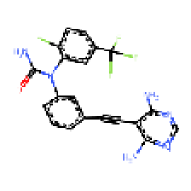 NC(=O)N(c1cccc(C#Cc2c(N)ncnc2N)c1)c1cc(C(F)(F)F)ccc1F